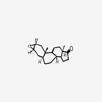 C[C@]12CCC3[C@@H](CC[C@H]4C[C@@H]5O[C@@H]5C[C@]34C)[C@@H]1CCC2=O